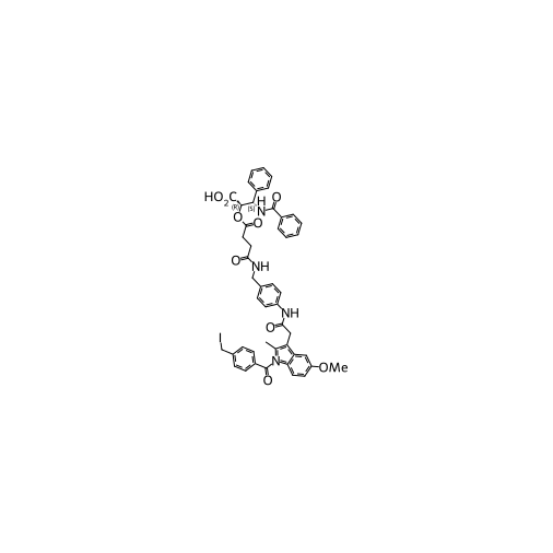 COc1ccc2c(c1)c(CC(=O)Nc1ccc(CNC(=O)CCC(=O)O[C@@H](C(=O)O)[C@@H](NC(=O)c3ccccc3)c3ccccc3)cc1)c(C)n2C(=O)c1ccc(CI)cc1